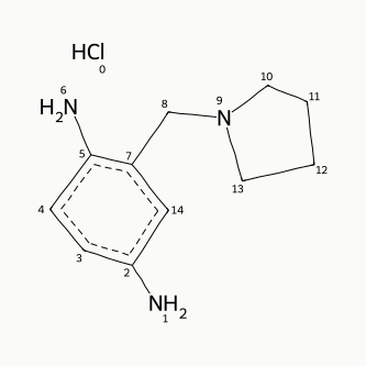 Cl.Nc1ccc(N)c(CN2CCCC2)c1